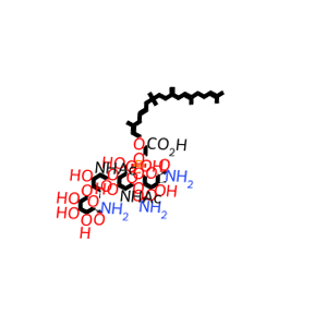 C=C(C/C=C(\C)CCC=C(C)C)CCC(C)(C)C/C=C/C/C(C)=C\CO[C@H](COP(=O)(O)O[C@H]1O[C@H](C(N)=O)[C@@](C)(O)[C@H](OC(N)=O)[C@H]1O[C@@H]1O[C@H](CO)[C@@H](O[C@@H]2O[C@H](C)[C@@H](O[C@@H]3O[C@H](C(N)=O)[C@@H](O)[C@H](O)[C@H]3O)[C@H](O)[C@H]2NC(C)=O)[C@H](O)[C@H]1NC(C)=O)C(=O)O